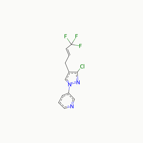 FC(F)(F)/C=C/Cc1cn(-c2cccnc2)nc1Cl